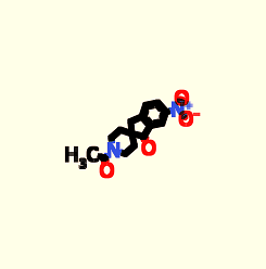 CC(=O)N1CCC2(CC1)Cc1ccc([N+](=O)[O-])cc1C2=O